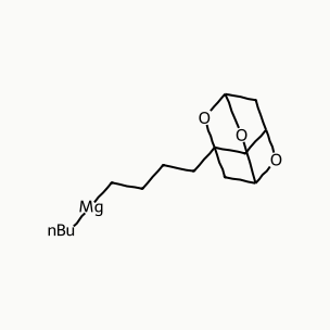 CCC[CH2][Mg][CH2]CCCC12CC3CC(OC(C1)O3)O2